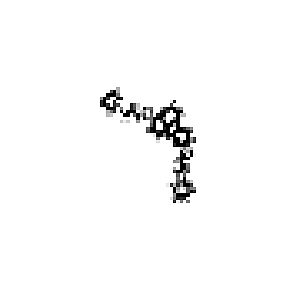 c1cc2c3c(ccc(OCCCN4CCCCC4)c3c1)-c1cc(OCCCN3CCCCC3)ccc1-2